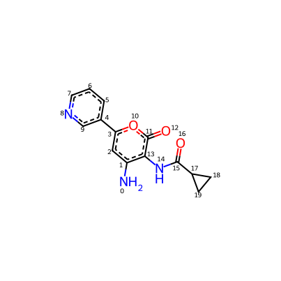 Nc1cc(-c2cccnc2)oc(=O)c1NC(=O)C1CC1